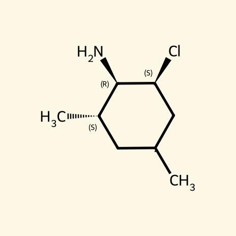 C[C]1C[C@H](C)[C@@H](N)[C@@H](Cl)C1